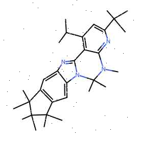 CC(C)c1cc(C(C)(C)C)nc2c1-c1nc3cc4c(cc3n1C(C)(C)N2C)C(C)(C)C(C)(C)C4(C)C